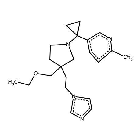 CCOCC1(CCn2ccnc2)CCN(C2(c3ccc(C)nc3)CC2)C1